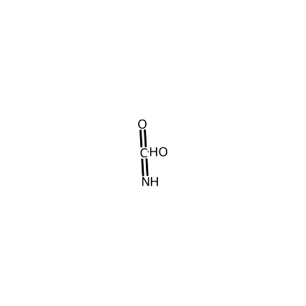 N=C=O.[OH]